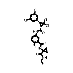 CCNC(=O)C1(NC(=O)c2cc(NC(=O)[C@H]3[C@H](c4cc(Cl)cc(Cl)c4)C3(Cl)Cl)ccc2Cl)CC1